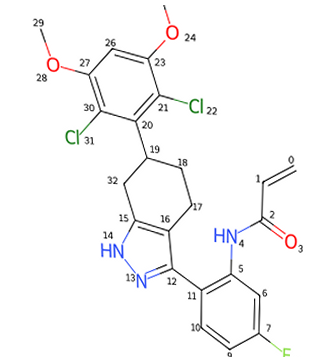 C=CC(=O)Nc1cc(F)ccc1-c1n[nH]c2c1CCC(c1c(Cl)c(OC)cc(OC)c1Cl)C2